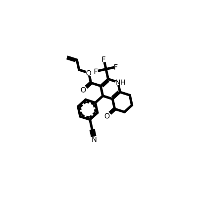 C=CCOC(=O)C1=C(C(F)(F)F)NC2=C(C(=O)CCC2)C1c1cccc(C#N)c1